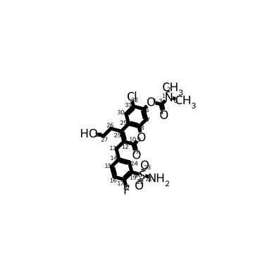 CN(C)C(=O)Oc1cc2oc(=O)c(Cc3ccc(F)c(S(N)(=O)=O)c3)c(CCO)c2cc1Cl